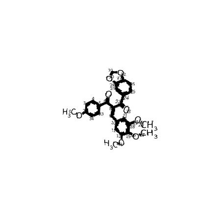 COc1ccc(C(=O)/C(=C/c2cc(OC)c(OC)c(OC)c2)C(=O)c2ccc3c(c2)OCO3)cc1